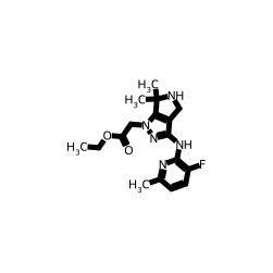 CCOC(=O)Cn1nc(Nc2nc(C)ccc2F)c2c1C(C)(C)NC2